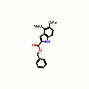 COc1ccc2[nH]c(C(=O)OCc3ccccc3)cc2c1OC